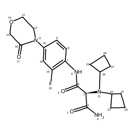 NC(=O)[C@@H](C(=O)Nc1ccc(N2CCOCC2=O)cc1F)N(C1CCC1)C1CCC1